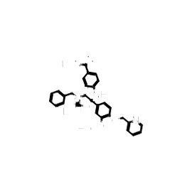 COc1cc([C@](Nc2ccc(C(=N)N)cc2)(OC(C)=O)C(=O)NCc2ccccc2)ccc1OCc1ccccn1